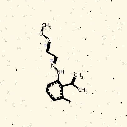 C=C(C)c1c(F)cccc1N/N=C/C=N/OC